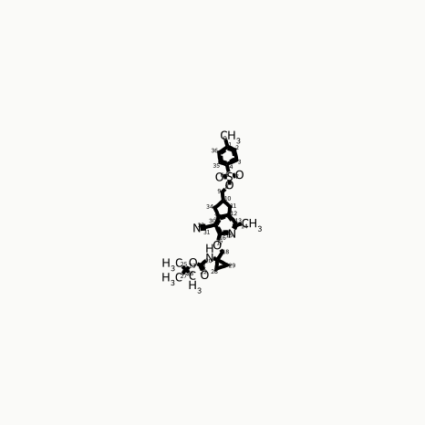 Cc1ccc(S(=O)(=O)OCC2Cc3c(C)nc(OCC4(NC(=O)OC(C)(C)C)CC4)c(C#N)c3C2)cc1